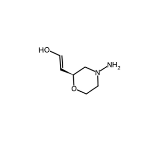 NN1CCO[C@@H](/C=C/O)C1